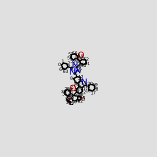 c1ccc(-c2nc(-c3ccc4c(c3)nc(-c3ccccc3)c3ccc5c(c34)Oc3ccccc3C53c4ccccc4-c4ccccc43)nc(-c3cccc4oc5ccccc5c34)n2)cc1